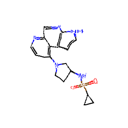 O=S(=O)(NC1CCN(c2ccnc3cnc4[nH]ccc4c23)C1)C1CC1